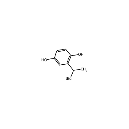 CC(c1cc(O)ccc1O)C(C)(C)C